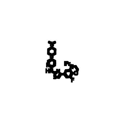 CC(C)N1CCOc2c(F)cc(-c3csc(Nc4ccc(N5CCC(N(C)C)CC5)cn4)n3)cc21